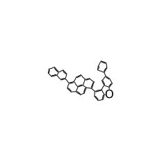 c1ccc(-c2ccc3oc4cccc(-c5ccc6ccc7c(-c8ccc9ccccc9c8)ccc8ccc5c6c87)c4c3c2)cc1